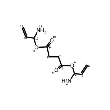 C=CC(N)OC(=O)CCC(=O)OC(N)C=C